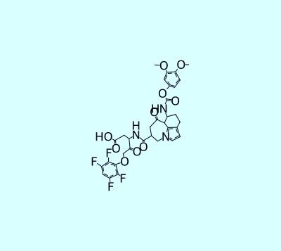 COc1ccc(OC(=O)NC2CCc3ccn4c3C2C(=O)CC(C(=O)NC(CC(=O)O)C(=O)COc2c(F)c(F)cc(F)c2F)C4)cc1OC